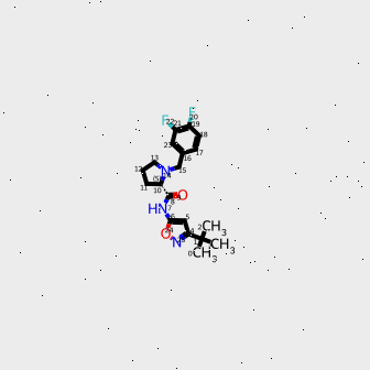 CC(C)(C)c1cc(NC(=O)[C@@H]2CCCN2Cc2ccc(F)c(F)c2)on1